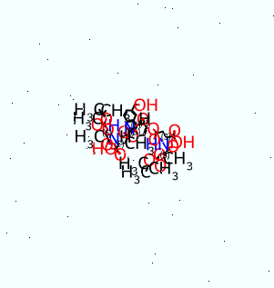 C[C@H](OC(=O)OC(C)(C)C)C(=O)N[C@@H](CC(=O)OC1=CC[C@@]2(OC(=O)C[C@H](NC(=O)[C@H](C)OC(=O)OC(C)(C)C)C(=O)O)[C@H]3Cc4ccc(CO)c5c4[C@@]2(CCN3C)[C@H]1O5)C(=O)O